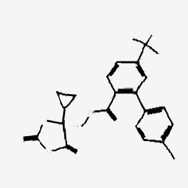 Cc1ccc(-c2cc(C(F)(F)F)ccc2C(=O)NC[C@@]2(C3CC3)NC(=O)NC2=O)cc1